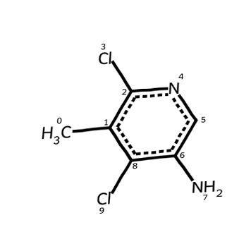 Cc1c(Cl)ncc(N)c1Cl